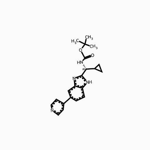 CC(C)(C)OC(=O)N[C@@H](c1nc2cc(-c3ccncc3)ccc2[nH]1)C1CC1